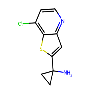 NC1(c2cc3nccc(Cl)c3s2)CC1